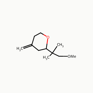 C=C1CCOC(C(C)(C)COC)C1